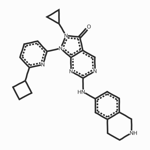 O=c1c2cnc(Nc3ccc4c(c3)CCNC4)nc2n(-c2cccc(C3CCC3)n2)n1C1CC1